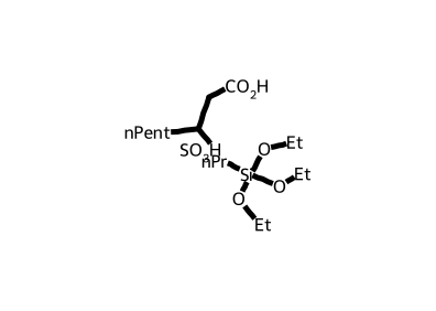 CCCCCC(CC(=O)O)S(=O)(=O)O.CCC[Si](OCC)(OCC)OCC